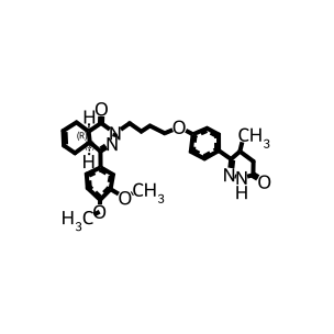 COc1ccc(C2=NN(CCCCOc3ccc(C4=NNC(=O)CC4C)cc3)C(=O)[C@@H]3CC=CC[C@H]23)cc1OC